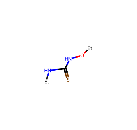 CCNC(=S)NOCC